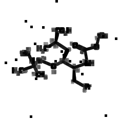 CC(C)C[C@H](NC(=O)OC(C)(C)C)[C@H](C[C@@H](C)C(=O)O)O[SiH2]C(C)(C)C(C)(C)C